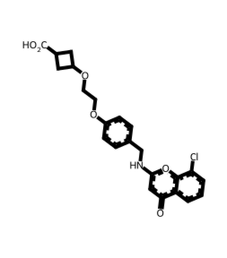 O=C(O)C1CC(OCCOc2ccc(CNc3cc(=O)c4cccc(Cl)c4o3)cc2)C1